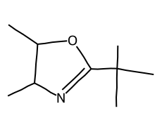 CC1N=C(C(C)(C)C)OC1C